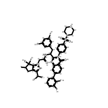 CC1Cc2c(C(F)F)nn(CC(=O)NC(Cc3cc(F)cc(F)c3)c3nc4cc(-c5cccc(F)c5F)ccc4c(=O)n3-c3ccc(S(=O)(=O)N4CCOCC4)cc3)c2C1(F)F